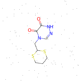 O=c1[nH]n[c]n(CC2SCCCS2)c1=O